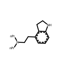 CCCN(CCC)CCc1cccc2c1CCN2